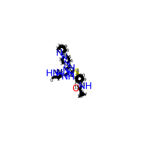 Cc1cc(Nc2nc(Sc3ccc(NC(=O)C4CC4)cc3)nc(N3CCN(c4ccccn4)CC3)n2)n[nH]1